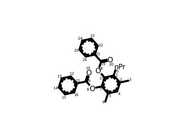 CCCc1c(C)cc(C)c(OC(=O)c2ccccc2)c1OC(=O)c1ccccc1